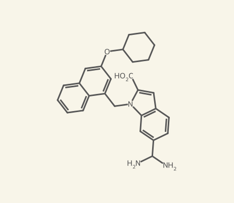 NC(N)c1ccc2cc(C(=O)O)n(Cc3cc(OC4CCCCC4)cc4ccccc34)c2c1